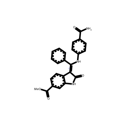 COC(=O)c1ccc2c(c1)NC(=O)/C2=C(\Nc1ccc(C(N)=O)cc1)c1ccccc1